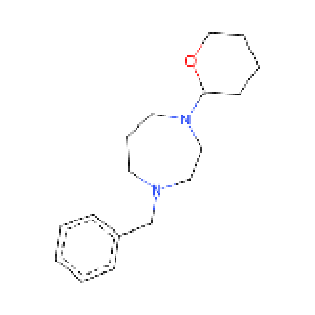 c1ccc(CN2CCCN([C]3CCCCO3)CC2)cc1